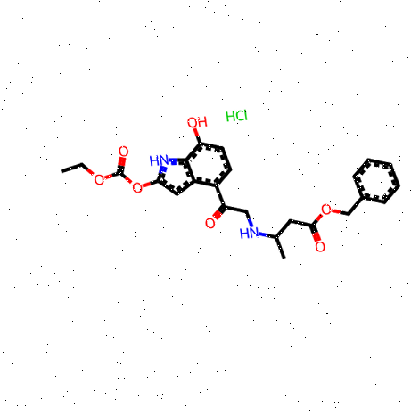 CCOC(=O)Oc1cc2c(C(=O)CNC(C)CC(=O)OCc3ccccc3)ccc(O)c2[nH]1.Cl